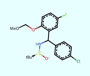 COCOc1ccc(F)cc1C(N[S@@+]([O-])C(C)(C)C)c1ccc(Cl)cc1